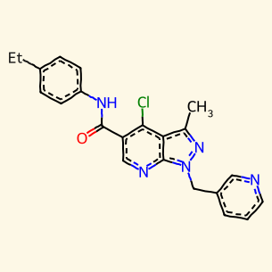 CCc1ccc(NC(=O)c2cnc3c(c(C)nn3Cc3cccnc3)c2Cl)cc1